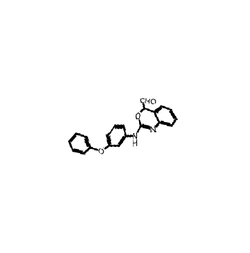 O=CC1OC(Nc2cccc(Oc3ccccc3)c2)=Nc2ccccc21